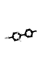 CCCc1cnc(-c2ccc(C)cc2)nc1